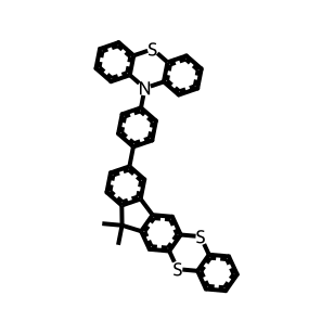 CC1(C)c2ccc(-c3ccc(N4c5ccccc5Sc5ccccc54)cc3)cc2-c2cc3c(cc21)Sc1ccccc1S3